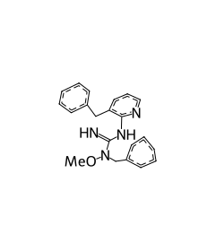 CON(Cc1ccccc1)C(=N)Nc1ncccc1Cc1ccccc1